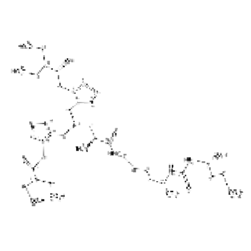 N[C@@H](CN(Cc1nccn1CC(=O)C(CC(=O)O)CC(=O)O)Cc1nccn1CC(=O)N(CC(=O)O)CC(=O)O)C(=O)NCCCC[C@H](NC(=O)N[C@@H](CCC(=O)O)C(=O)O)C(=O)O